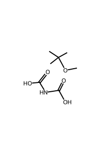 COC(C)(C)C.O=C(O)NC(=O)O